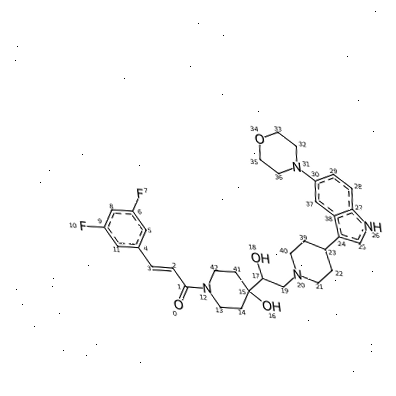 O=C(C=Cc1cc(F)cc(F)c1)N1CCC(O)(C(O)CN2CCC(c3c[nH]c4ccc(N5CCOCC5)cc34)CC2)CC1